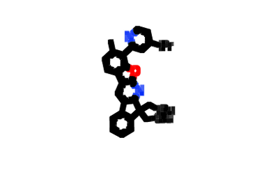 Cc1ccc2c(oc3nc4c(cc32)-c2ccccc2C4(CC(C)(C)C)CC(C)(C)C)c1-c1cc(C(C)C)ccn1